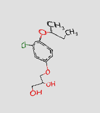 CCC(C)Oc1ccc(OCC(O)CO)cc1Cl